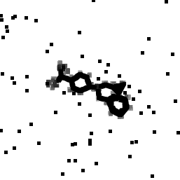 FC(F)(F)C(C1CCC(N(Cc2ccccc2)CC2CC2)CC1)C(F)(F)F